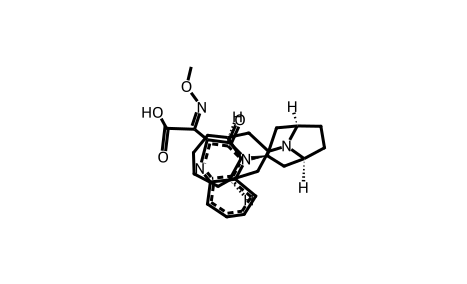 CO/N=C(\C(=O)O)c1nc2ccccc2n([C@H]2C[C@H]3CC[C@@H](C2)N3C2C[C@H]3CCCC[C@@H](C2)C3)c1=O